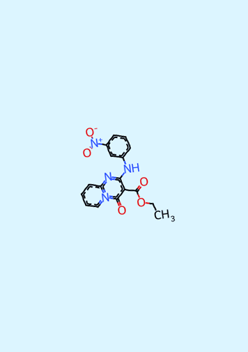 CCOC(=O)c1c(Nc2cccc([N+](=O)[O-])c2)nc2ccccn2c1=O